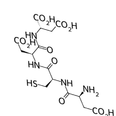 N[C@@H](CC(=O)O)C(=O)N[C@@H](CS)C(=O)N[C@@H](CC(=O)O)C(=O)N[C@@H](CC(=O)O)C(=O)O